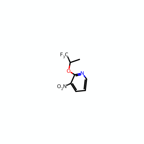 CC(Oc1ncccc1[N+](=O)[O-])C(F)(F)F